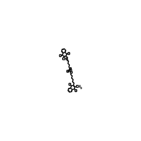 CC1=C(CCCCCCO[N+](=O)OCCCCCCC2=C(C)C(=O)c3ccccc3C2=O)C(=O)c2ccccc2C1=O